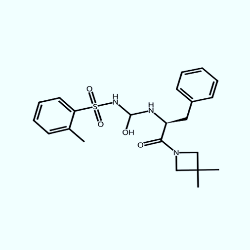 Cc1ccccc1S(=O)(=O)NC(O)N[C@@H](Cc1ccccc1)C(=O)N1CC(C)(C)C1